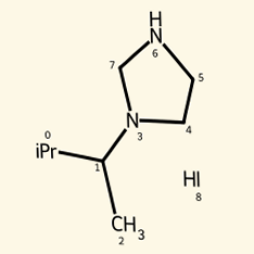 CC(C)C(C)N1CCNC1.I